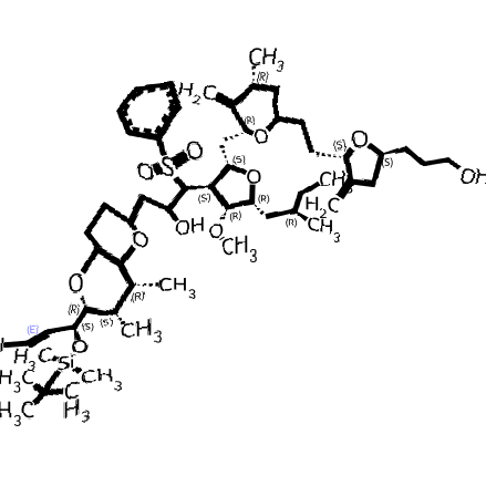 C=C1C[C@H](CCCO)O[C@H]1CCC1C[C@@H](C)C(=C)[C@@H](C[C@@H]2O[C@H](C[C@H](C)CC)[C@H](OC)[C@H]2C(C(O)CC2CCC3O[C@@H]([C@H](/C=C/I)O[Si](C)(C)C(C)(C)C)[C@@H](C)[C@@H](C)C3O2)S(=O)(=O)c2ccccc2)O1